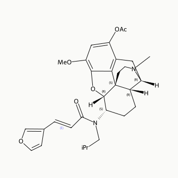 COc1cc(OC(C)=O)c2c3c1O[C@H]1[C@@H](N(CC(C)C)C(=O)/C=C/c4ccoc4)CC[C@H]4[C@@H](C2)N(C)CC[C@@]341